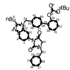 CCCCc1nc2ccc(N3C(=O)CN(Cc4ccccc4)C3=O)cc2n1Cc1ccc(-c2ccccc2OC(=O)OC(C)(C)C)cc1